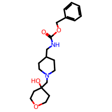 O=C(NCC1CCN(CC2(O)CCOCC2)CC1)OCc1ccccc1